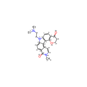 CCN(CC)CCn1c2ccc3c(c2c2c4ccn(C)c(=O)c4ccc21)OCCC3=O